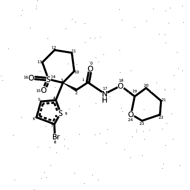 O=C(C[C@]1(c2ccc(Br)s2)CCCCS1(=O)=O)NOC1CCCCO1